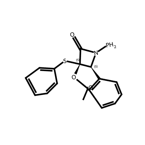 CC(=O)O[C@@]1(Sc2ccccc2)C(=O)N(P)[C@H]1c1ccccc1